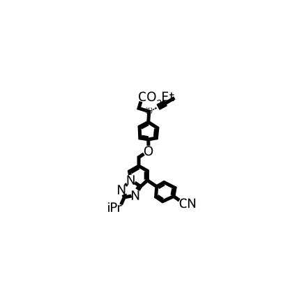 CC#C[C@@H](CC(=O)OCC)c1ccc(OCc2cc(-c3ccc(C#N)cc3)c3nc(C(C)C)nn3c2)cc1